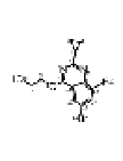 OCCOc1nc(C2CC2)nc2c(F)cc(Br)cc12